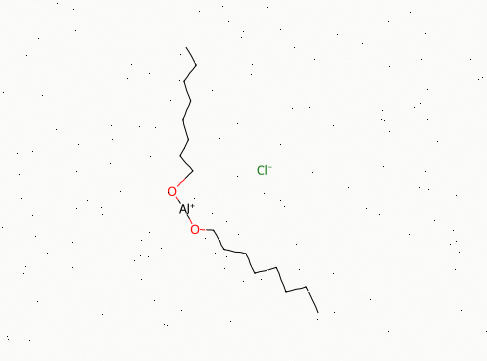 CCCCCCCC[O][Al+][O]CCCCCCCC.[Cl-]